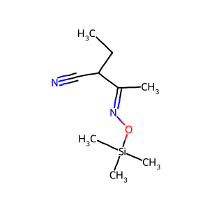 CCC(C#N)/C(C)=N/O[Si](C)(C)C